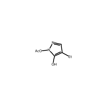 CCc1cnn(OC(C)=O)c1O